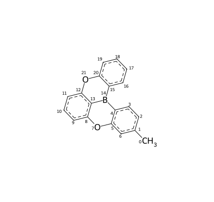 Cc1ccc2c(c1)Oc1cccc3c1B2c1ccccc1O3